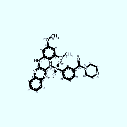 COc1cc(Nc2nc3ccccc3nc2NS(=O)(=O)c2cccc(C(=O)N3CCOCC3)c2)cc(OC)c1